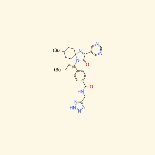 CC(C)(C)CC[C@H](c1ccc(C(=O)NCc2nn[nH]n2)cc1)N1C(=O)C(c2cncnc2)=NC12CCC(C(C)(C)C)CC2